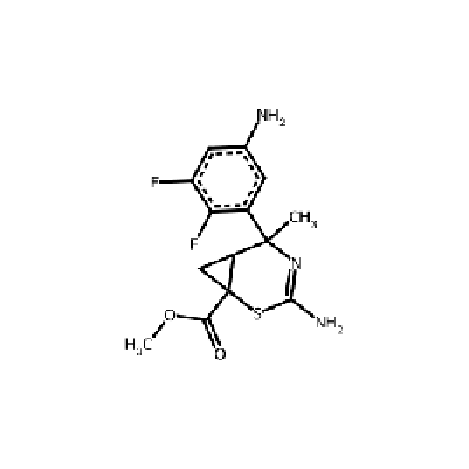 COC(=O)C12CC1C(C)(c1cc(N)cc(F)c1F)N=C(N)S2